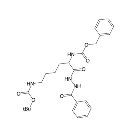 CC(C)(C)OC(=O)NCCCCC(NC(=O)OCc1ccccc1)C(=O)NNC(=O)c1ccccc1